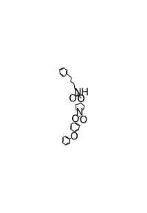 O=C(NCCCCc1ccccc1)OC1CCN(C(=O)Oc2ccc(Oc3ccccc3)cc2)CC1